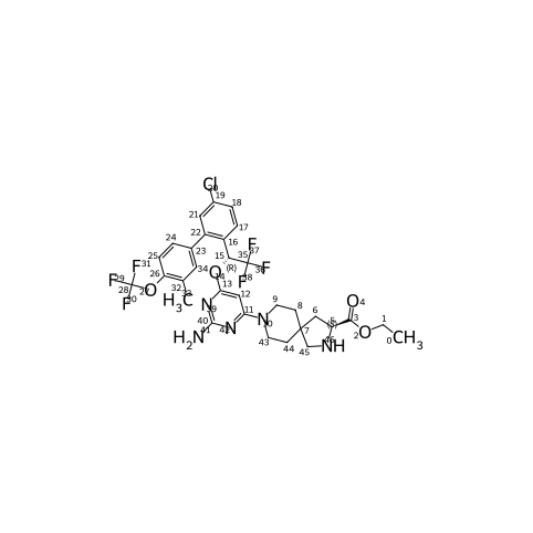 CCOC(=O)[C@@H]1CC2(CCN(c3cc(O[C@H](c4ccc(Cl)cc4-c4ccc(OC(F)(F)F)c(C)c4)C(F)(F)F)nc(N)n3)CC2)CN1